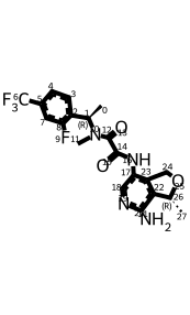 C[C@H](c1ccc(C(F)(F)F)cc1F)N(C)C(=O)C(=O)Nc1cnc(N)c2c1CO[C@@H]2C